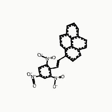 O=[N+]([O-])c1cc([N+](=O)[O-])c(C=Cc2ccc3ccc4cccc5ccc2c3c45)c([N+](=O)[O-])c1